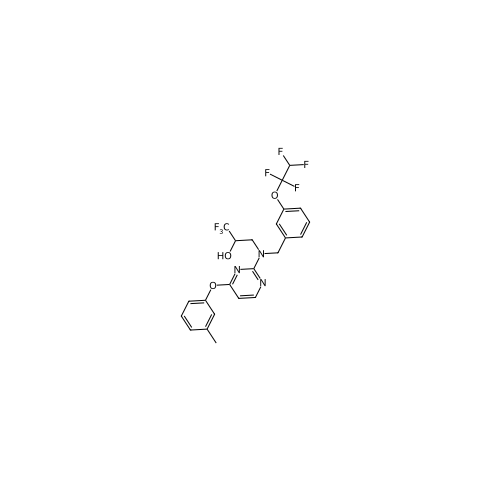 Cc1cccc(Oc2ccnc(N(Cc3cccc(OC(F)(F)C(F)F)c3)CC(O)C(F)(F)F)n2)c1